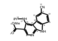 COC(=O)c1cnc2[nH]c3ccc(C#N)cc3c2c1NC(C)C